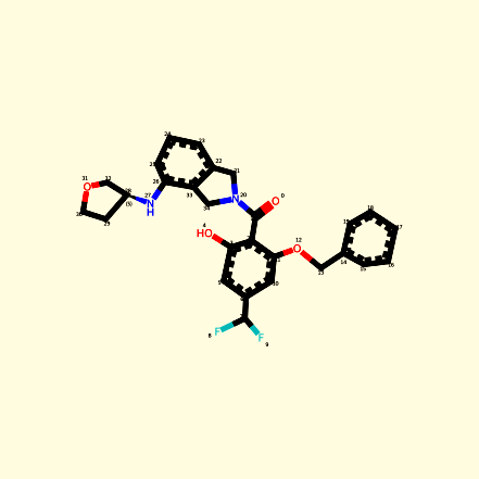 O=C(c1c(O)cc(C(F)F)cc1OCc1ccccc1)N1Cc2cccc(N[C@H]3CCOC3)c2C1